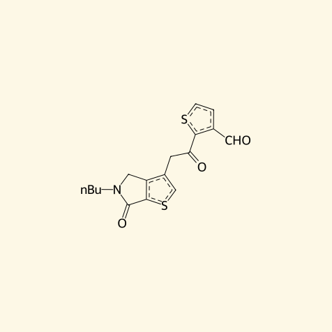 CCCCN1Cc2c(CC(=O)c3sccc3C=O)csc2C1=O